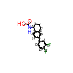 O=C(O)NC1CCCc2cc(-c3ccc(F)c(F)c3)ccc21